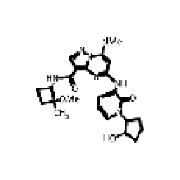 CNc1cc(Nc2cccn(C3CCC[C@H]3O)c2=O)nc2c(C(=O)N[C@H]3CC[C@]3(C)OC)cnn12